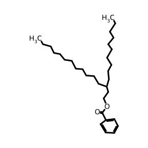 CCCCCCCCCCCCC(CCCCCCCCCC)CCOC(=O)c1ccccc1